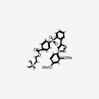 COc1ccc(-n2cc(-c3ccccc3S(=O)(=O)c3ccc(C(=O)OCC[N+](C)(C)C)cc3)nn2)c(OC)c1